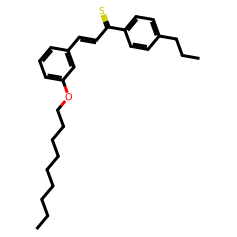 CCCCCCCCCOc1cccc(C=CC(=S)c2ccc(CCC)cc2)c1